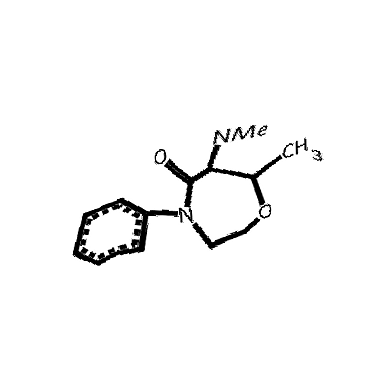 CNC1C(=O)N(c2ccccc2)CCOC1C